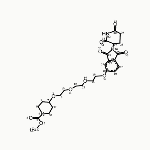 CC(C)(C)OC(=O)N1CCC(OCCOCCOCCOc2ccc3c(c2)C(=O)N(C2CCC(=O)NC2=O)C3=O)CC1